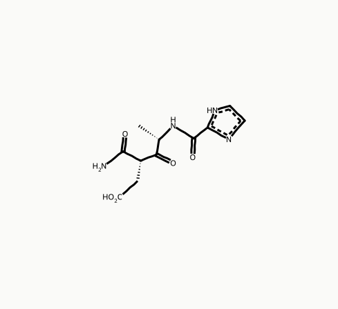 C[C@H](NC(=O)c1ncc[nH]1)C(=O)[C@H](CC(=O)O)C(N)=O